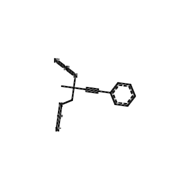 CC(C#Cc1ccccc1)(CN=[N+]=[N-])N=[N+]=[N-]